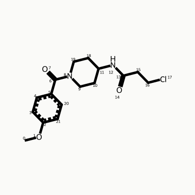 COc1ccc(C(=O)N2CCC(NC(=O)CCCl)CC2)cc1